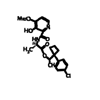 COc1ccnc(C(=O)N[C@@H](C)C(=O)OC(C)C2(c3ccc(Cl)cc3)CCC2)c1O